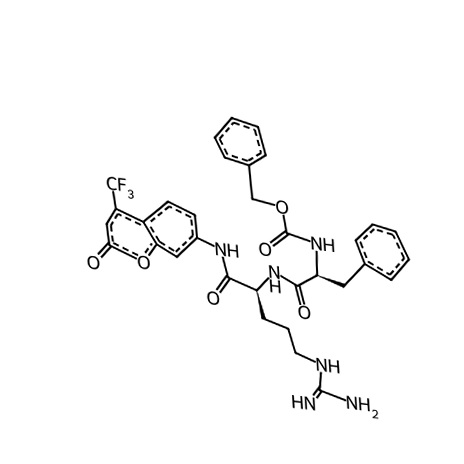 N=C(N)NCCC[C@H](NC(=O)[C@H](Cc1ccccc1)NC(=O)OCc1ccccc1)C(=O)Nc1ccc2c(C(F)(F)F)cc(=O)oc2c1